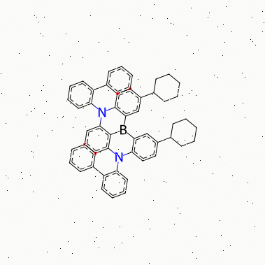 c1ccc(-c2ccccc2N2c3ccc(C4CCCCC4)cc3B3c4cc(C5CCCCC5)ccc4N(c4ccccc4-c4ccccc4)c4cccc2c43)cc1